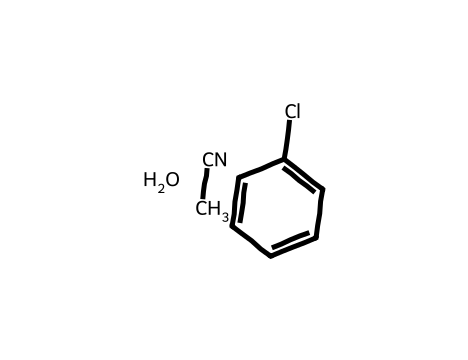 CC#N.Clc1ccccc1.O